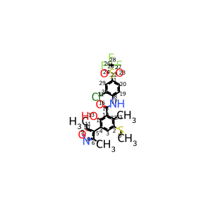 CSc1cc(-c2c(C)noc2C)c(O)c(C(=O)Nc2ccc(S(=O)(=O)C(F)(F)F)cc2Cl)c1C